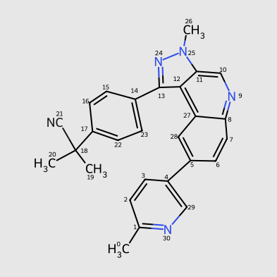 Cc1ccc(-c2ccc3ncc4c(c(-c5ccc(C(C)(C)C#N)cc5)nn4C)c3c2)cn1